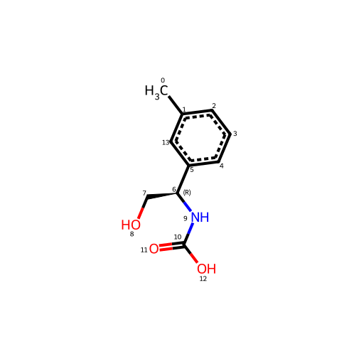 Cc1cccc([C@H](CO)NC(=O)O)c1